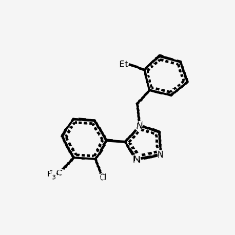 CCc1ccccc1Cn1cnnc1-c1cccc(C(F)(F)F)c1Cl